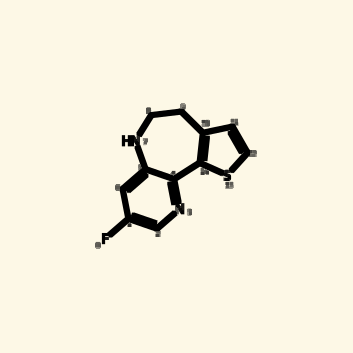 Fc1cnc2c(c1)NCCc1ccsc1-2